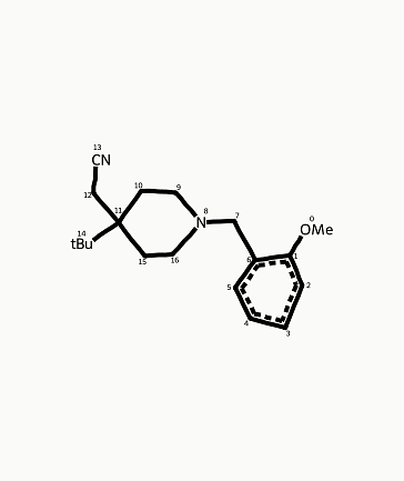 COc1ccccc1CN1CCC(CC#N)(C(C)(C)C)CC1